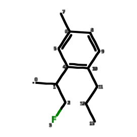 [CH2]C(CF)c1cc(C)ccc1CCC